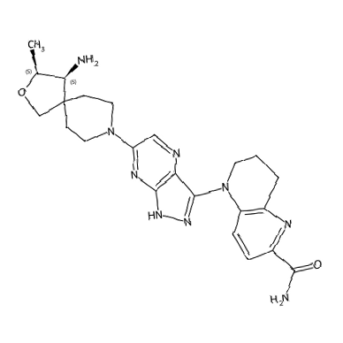 C[C@@H]1OCC2(CCN(c3cnc4c(N5CCCc6nc(C(N)=O)ccc65)n[nH]c4n3)CC2)[C@@H]1N